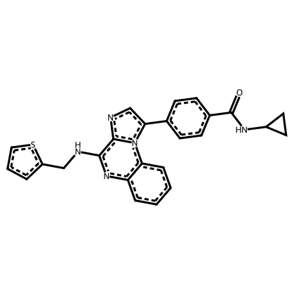 O=C(NC1CC1)c1ccc(-c2cnc3c(NCc4cccs4)nc4ccccc4n23)cc1